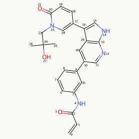 C=CC(=O)Nc1cccc(-c2cnc3[nH]cc(-c4ccc(=O)n(CC(C)(C)O)c4)c3c2)c1